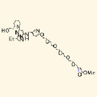 CCc1cnn2c(NCc3ccc(OCCOCCOCCOCCOCCOC/C=C/C(=O)OC)nc3)cc(N3CCCCC3CCO)nc12